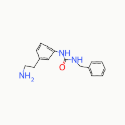 NCCc1cccc(NC(=O)NCc2ccccc2)c1